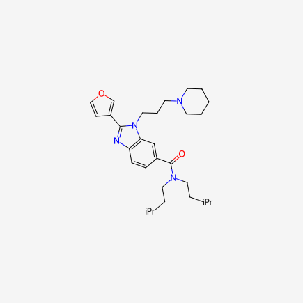 CC(C)CCN(CCC(C)C)C(=O)c1ccc2nc(-c3ccoc3)n(CCCN3CCCCC3)c2c1